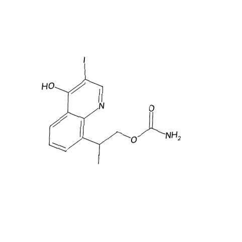 CC(COC(N)=O)c1cccc2c(O)c(I)cnc12